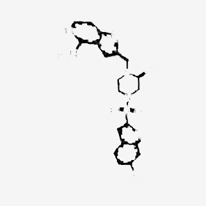 Nc1nccc2sc(CN3CCN(S(=O)(=O)c4cc5ccc(Cl)cc5s4)CC3=O)cc12